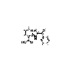 O=C(c1ccccc1)c1cc2nccc(C(=O)O)c2[nH]1